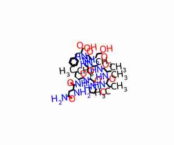 CC(C)C[C@H](NC(=O)[C@@H](N)CC(N)=O)C(=O)N[C@@H](CCCCN)C(=O)N1CCC[C@H]1C(=O)N[C@H](C(=O)N[C@H](C(=O)N[C@@H](C)C(=O)N[C@@H](CCC(=O)O)C(=O)N[C@@H](Cc1ccccc1)C(=O)O)C(C)C)C(C)C